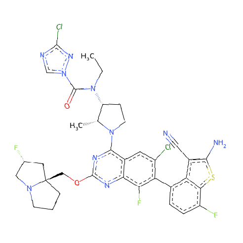 CCN(C(=O)n1cnc(Cl)n1)[C@@H]1CCN(c2nc(OC[C@@]34CCCN3C[C@H](F)C4)nc3c(F)c(-c4ccc(F)c5sc(N)c(C#N)c45)c(Cl)cc23)[C@@H]1C